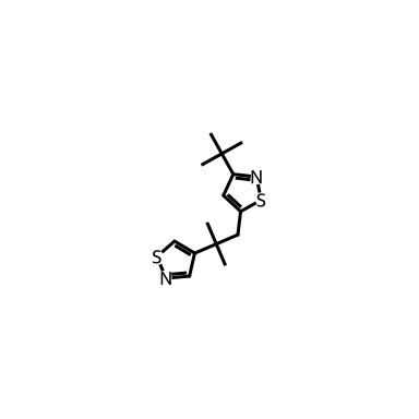 CC(C)(C)c1cc(CC(C)(C)c2cnsc2)sn1